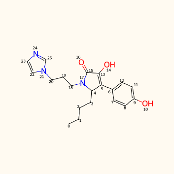 CCCCC1C(c2ccc(O)cc2)=C(O)C(=O)N1CCCn1ccnc1